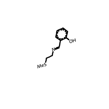 CSCC/N=C/c1ccccc1O